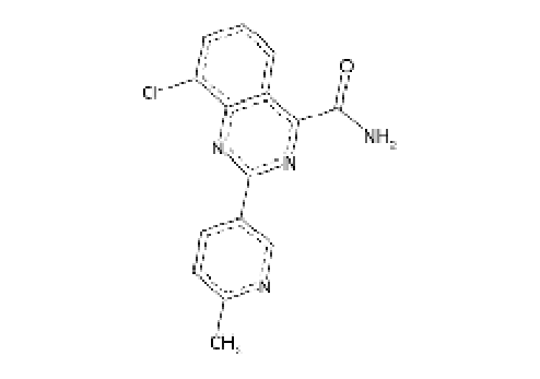 Cc1ccc(-c2nc(C(N)=O)c3cccc(Cl)c3n2)cn1